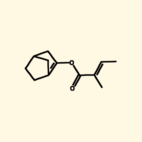 CC=C(C)C(=O)OC1=C2CCC(C2)C1